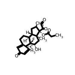 CCC(=O)O[C@@]1(C(=O)C=O)[C@H](C)C[C@H]2[C@@H]3CCC4=CC(=O)C=C[C@]4(C)[C@@]3(F)[C@@H](O)C[C@@]21C